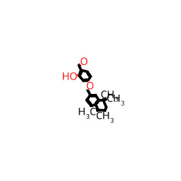 CC1(C)CCC(C)(C)c2cc(COc3ccc(C=O)c(O)c3)ccc21